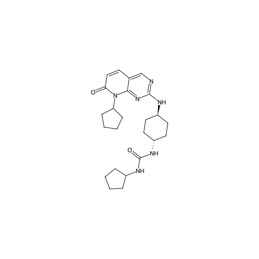 O=C(NC1CCCC1)N[C@H]1CC[C@H](Nc2ncc3ccc(=O)n(C4CCCC4)c3n2)CC1